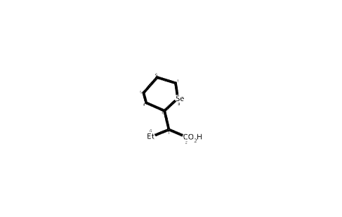 CCC(C(=O)O)C1CCCC[Se]1